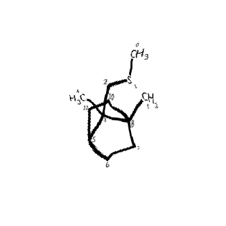 CSCC1(C)C2CCC1(C)CC2